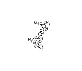 COc1nc2c(Oc3ccc(NC(=O)c4c(C)nc(C)n(-c5ccc(F)cc5)c4=O)cc3F)ccnc2cc1C